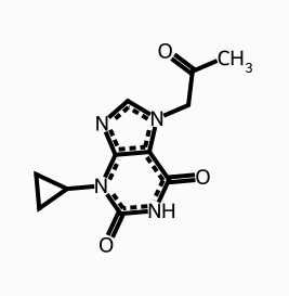 CC(=O)Cn1cnc2c1c(=O)[nH]c(=O)n2C1CC1